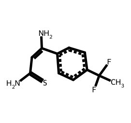 CC(F)(F)c1ccc(/C(N)=C\C(N)=S)cc1